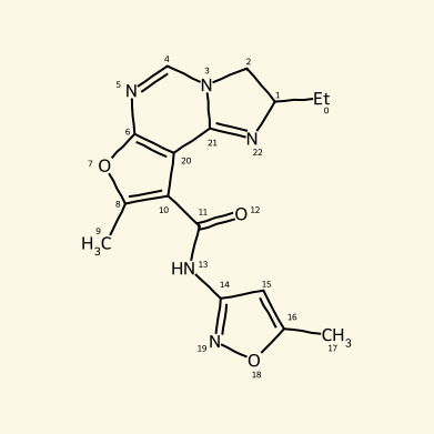 CCC1CN2C=Nc3oc(C)c(C(=O)Nc4cc(C)on4)c3C2=N1